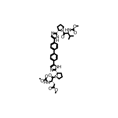 COC(=O)C[C@H](NC(=O)OC)C(=O)N1CCC[C@H]1c1ncc(-c2ccc(-c3ccc(-c4cnc([C@@H]5CCCN5C(=O)[C@@H](NC(=O)OC)C(C)C)[nH]4)cc3)cc2)[nH]1